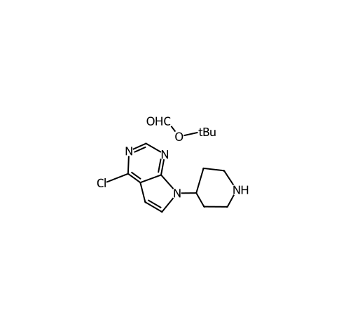 CC(C)(C)OC=O.Clc1ncnc2c1ccn2C1CCNCC1